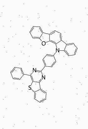 c1ccc(-c2nc(-c3ccc(-n4c5ccccc5c5ccc6c7ccccc7oc6c54)cc3)nc3c2sc2ccccc23)cc1